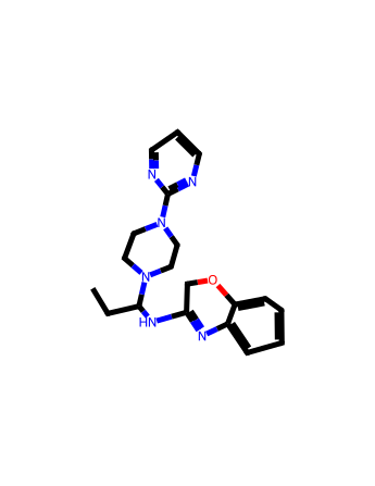 CCC(NC1=Nc2ccccc2OC1)N1CCN(c2ncccn2)CC1